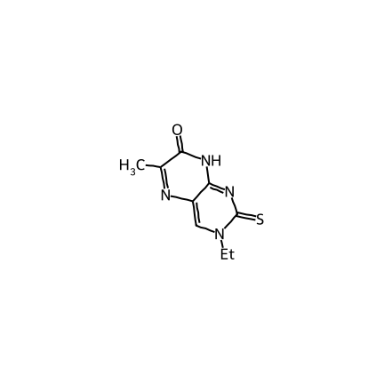 CCn1cc2nc(C)c(=O)[nH]c2nc1=S